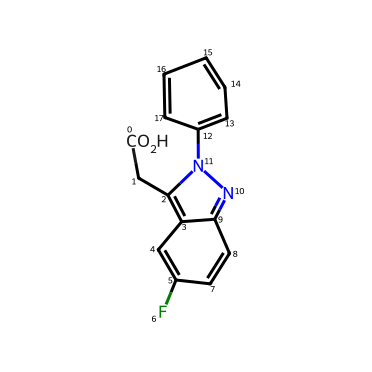 O=C(O)Cc1c2cc(F)ccc2nn1-c1ccccc1